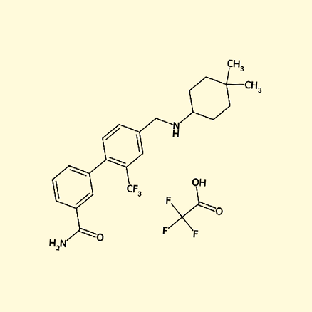 CC1(C)CCC(NCc2ccc(-c3cccc(C(N)=O)c3)c(C(F)(F)F)c2)CC1.O=C(O)C(F)(F)F